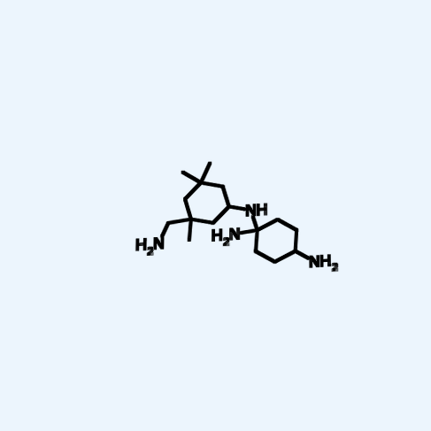 CC1(C)CC(NC2(N)CCC(N)CC2)CC(C)(CN)C1